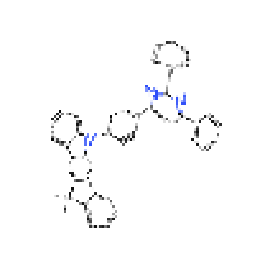 CC1(C)c2ccccc2-c2cc3c(cc21)c1ccccc1n3-c1c#cc(-c2cc(-c3ccccc3)nc(-c3ccccc3)n2)cc1